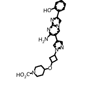 Nc1nc2nc(-c3ccccc3O)cn2cc1-c1cnn(C2CC(OC3CCN(C(=O)O)CC3)C2)c1